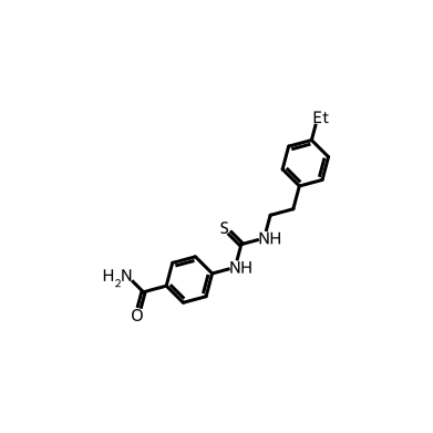 CCc1ccc(CCNC(=S)Nc2ccc(C(N)=O)cc2)cc1